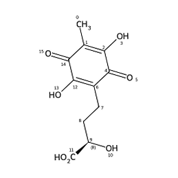 CC1=C(O)C(=O)C(CC[C@@H](O)C(=O)O)=C(O)C1=O